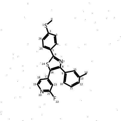 CSc1ccc(-c2nc(-c3cccc(C)c3)c(-c3ccnc(F)c3)s2)cc1